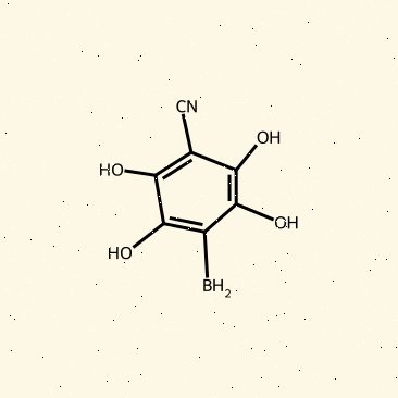 Bc1c(O)c(O)c(C#N)c(O)c1O